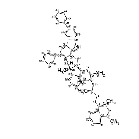 C=C(CCC1=C(C)CC(C)c2ccccc21)SC(C)/C(N)=C\C1=C(Cc2cc(-c3ccccc3)cc3c2[nH]c2ccc(-c4ccccc4)cc23)C(C)(C)c2ccccc21